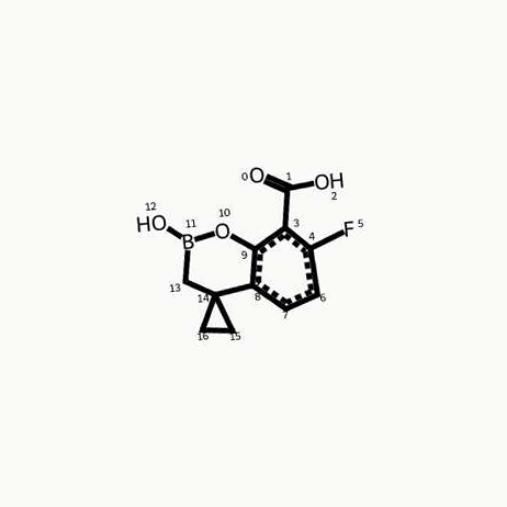 O=C(O)c1c(F)ccc2c1OB(O)CC21CC1